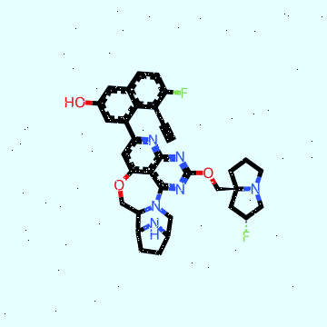 C#Cc1c(F)ccc2cc(O)cc(-c3cc4c5c(nc(OC[C@@]67CCCN6C[C@H](F)C7)nc5n3)N3CC5CCC(N5)C3CO4)c12